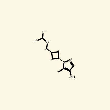 Cc1c(N)cnn1[C@H]1C[C@H](COC(F)F)C1